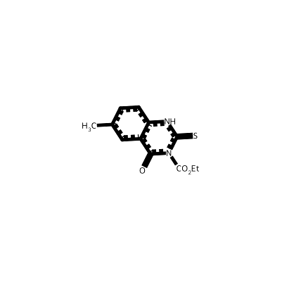 CCOC(=O)n1c(=S)[nH]c2ccc(C)cc2c1=O